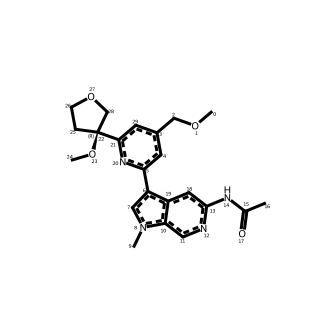 COCc1cc(-c2cn(C)c3cnc(NC(C)=O)cc23)nc([C@]2(OC)CCOC2)c1